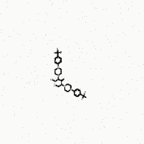 O=C(C(CCl)N1CCN(c2ccc(C(F)(F)F)cc2)CC1)C(CCl)N1CCN(c2ccc(C(F)(F)F)cc2)CC1